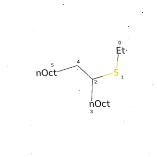 C[CH]SC(CCCCCCCC)CCCCCCCCC